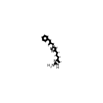 C/C(=C\c1ccccc1)Cn1cc(CCCc2c[nH]c(N)n2)nn1